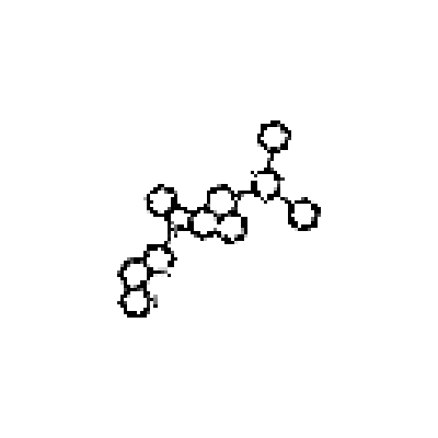 C1=CN(c2nc(-c3ccccc3)cc(-c3ccccc3)n2)c2cccc3cc4c(c1c23)c1ccccc1n4-c1cnc2c(ccc3cccnc32)c1